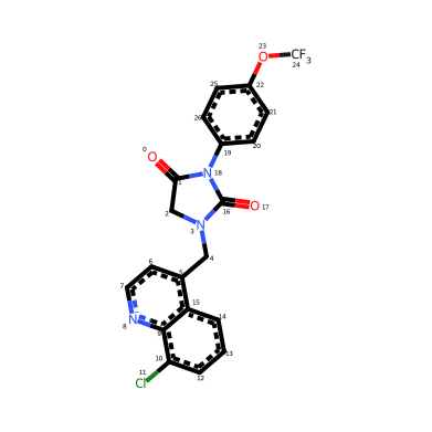 O=C1CN(Cc2ccnc3c(Cl)cccc23)C(=O)N1c1ccc(OC(F)(F)F)cc1